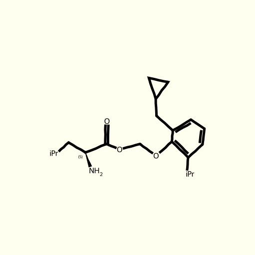 CC(C)C[C@H](N)C(=O)OCOc1c(CC2CC2)cccc1C(C)C